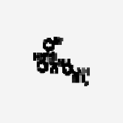 C[C@H](Nc1ccccc1NC(=O)Nc1ccc(C(=N)N)cc1)c1cccc(Br)c1